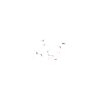 C=C(C)C(=O)OC[C@@H](OC(=O)C(=C)C)[C@@H](OC(=O)C(=C)C)[C@H](O)[C@H](O)C=O